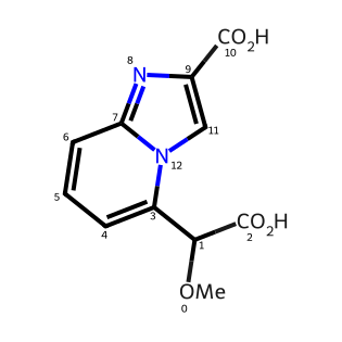 COC(C(=O)O)c1cccc2nc(C(=O)O)cn12